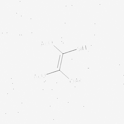 CC(=O)OC([SiH2])=C(OC(C)=O)OC(C)=O